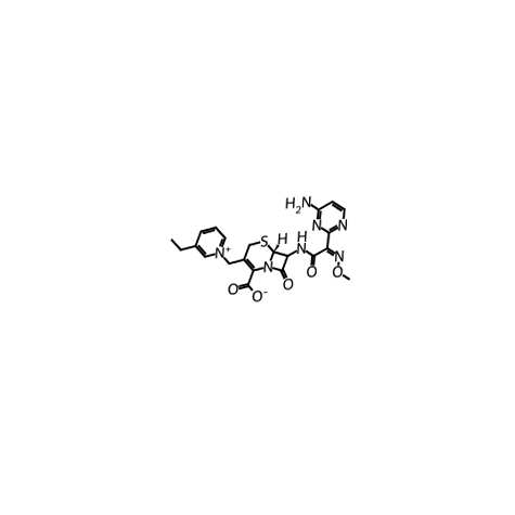 CCc1ccc[n+](CC2=C(C(=O)[O-])N3C(=O)C(NC(=O)/C(=N\OC)c4nccc(N)n4)[C@H]3SC2)c1